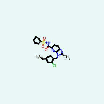 C=Cc1ccc(Cn2c(C)nc3ccc(C(=O)NS(=O)(=O)c4ccccc4)nc32)c(Cl)c1